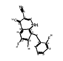 N#Cc1c[nH]c2c(Cc3ccccc3F)c(F)c(F)cc2c1=O